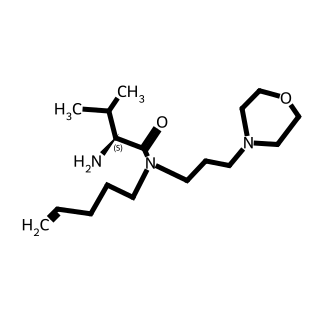 C=CCCCN(CCCN1CCOCC1)C(=O)[C@@H](N)C(C)C